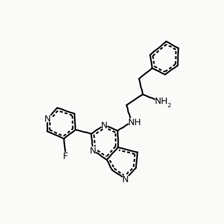 NC(CNc1nc(-c2ccncc2F)nc2cnccc12)Cc1ccccc1